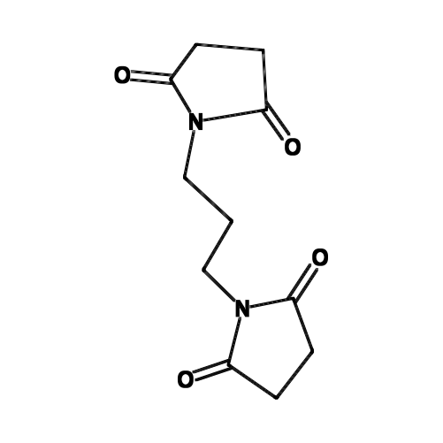 O=C1CCC(=O)N1CCCN1C(=O)CCC1=O